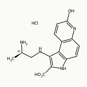 C[C@@H](N)CNc1c(C(=O)O)[nH]c2ccc3nc(O)ccc3c12.Cl